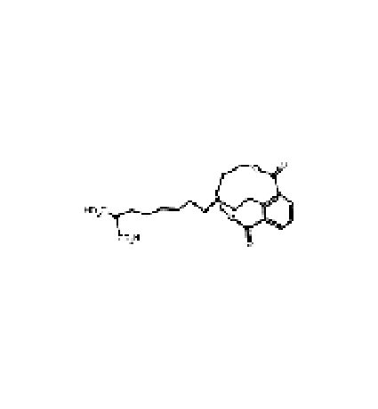 O=C1OCCCCOC(=O)c2cccc1c2CCCCCCCCCC(C(=O)O)C(=O)O